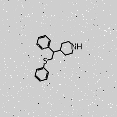 c1ccc(SCC(c2ccccc2)C2CCNCC2)cc1